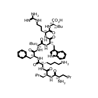 CC[C@H](C)[C@H](NC(=O)[C@H](CCCNC(=N)N)NC(=O)[C@H](Cc1c[nH]c2ccccc12)NC(=O)[C@@H](NC(=O)[C@H](Cc1ccccc1)NC(=O)[C@H](CCCCN)NC(=O)[C@H](CC(C)C)NC(=O)[C@@H](N)CC(C)C)[C@@H](C)CC)C(=O)O